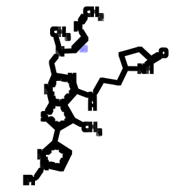 C=N/C=C\N(C)Cc1nc(NCCC2CCC(=O)N2)c2c(C)c(-c3ccn(C(C)C)n3)sc2n1